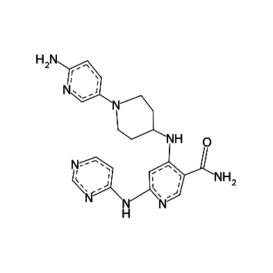 NC(=O)c1cnc(Nc2ccncn2)cc1NC1CCN(c2ccc(N)nc2)CC1